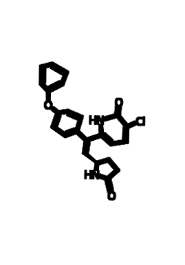 O=C1CC[C@H](C=C(c2ccc(Oc3ccccc3)cc2)c2ccc(Cl)c(=O)[nH]2)N1